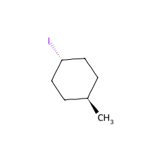 C[C@H]1CC[C@H](I)CC1